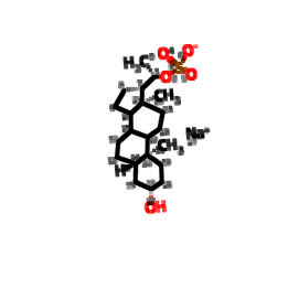 C[C@H](OS(=O)(=O)[O-])[C@H]1CCC2C3CC[C@H]4C[C@@H](O)CC[C@]4(C)C3CC[C@@]21C.[Na+]